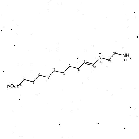 CCCCCCCCCCCCCCCC/C=C/NCCN